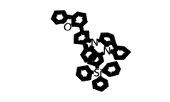 c1ccc([Si](c2ccccc2)(c2ccccc2)c2cccc(-n3c4ccccc4c4cccc(-n5c6ccccc6c6ccc(-c7cccc8c7oc7ccccc78)cc65)c43)c2)cc1